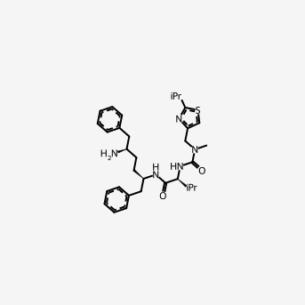 CC(C)c1nc(CN(C)C(=O)N[C@H](C(=O)N[C@H](CC[C@@H](N)Cc2ccccc2)Cc2ccccc2)C(C)C)cs1